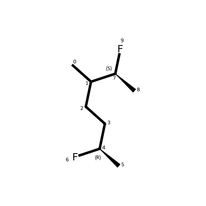 CC(CC[C@@H](C)F)[C@H](C)F